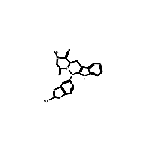 CC1Oc2ccc([C@@H]3c4[nH]c5ccccc5c4CC4C(=O)N(N)CC(=O)N43)cc2O1